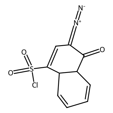 [N-]=[N+]=C1C=C(S(=O)(=O)Cl)C2C=CC=CC2C1=O